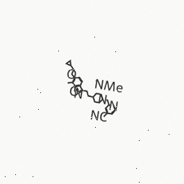 CNC.Cc1c(OCC2CC2)ccc2c(CCC3CCN(Cc4cc(C#N)ccn4)CC3)noc12